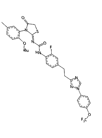 CCC(C)Oc1ccc(C)cc1N1C(=O)CSC1=NC(=O)Nc1ccc(CCc2ncn(-c3ccc(OC(F)(F)F)cc3)n2)cc1F